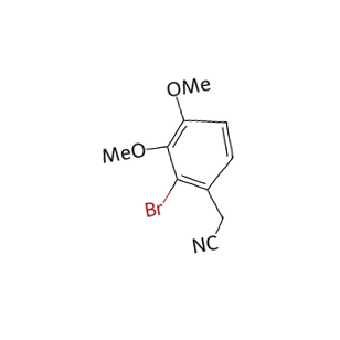 COc1ccc(CC#N)c(Br)c1OC